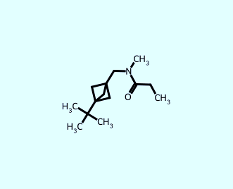 CCC(=O)N(C)CC12CC(C(C)(C)C)(C1)C2